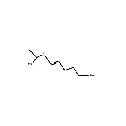 CCCCCCCCC=CNC(C)O